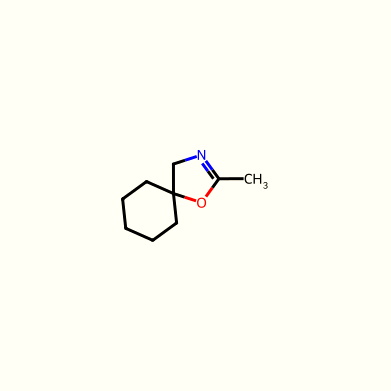 CC1=NCC2(CCCCC2)O1